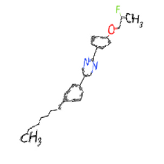 CCCCCCCc1ccc(-c2cnc(-c3ccc(OCC(C)F)cc3)nc2)cc1